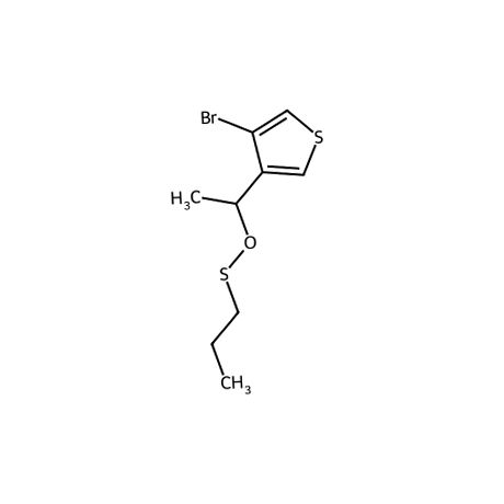 CCCSOC(C)c1cscc1Br